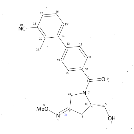 CO/N=C1/C[C@@H](CO)N(C(=O)c2ccc(-c3cccc(C#N)c3C)cc2)C1